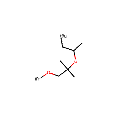 CC(C)OCC(C)(C)OC(C)CC(C)(C)C